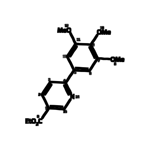 CCOC(=O)c1ccc(-c2cc(OC)c(OC)c(OC)c2)nc1